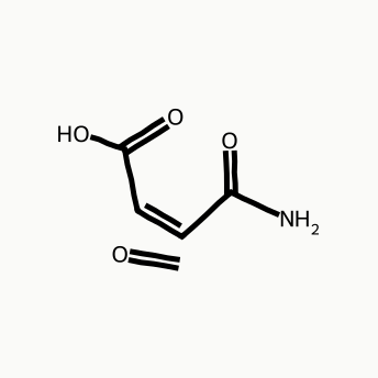 C=O.NC(=O)/C=C\C(=O)O